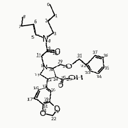 CCCCN(CCCC)C(=O)CN1CC(c2ccc3c(c2)OCO3)C(C(=O)O)C1COCc1ccccc1